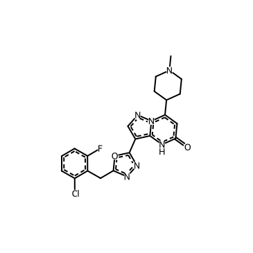 CN1CCC(c2cc(=O)[nH]c3c(-c4nnc(Cc5c(F)cccc5Cl)o4)cnn23)CC1